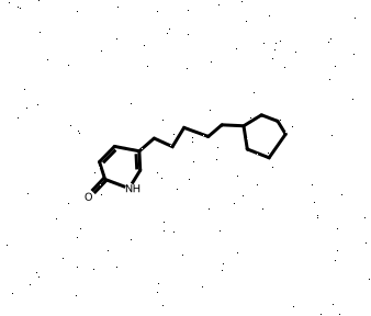 O=c1ccc(CCCCCC2CCCCC2)c[nH]1